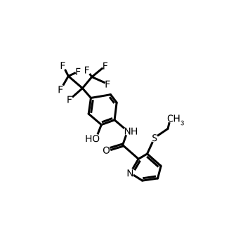 CCSc1cccnc1C(=O)Nc1ccc(C(F)(C(F)(F)F)C(F)(F)F)cc1O